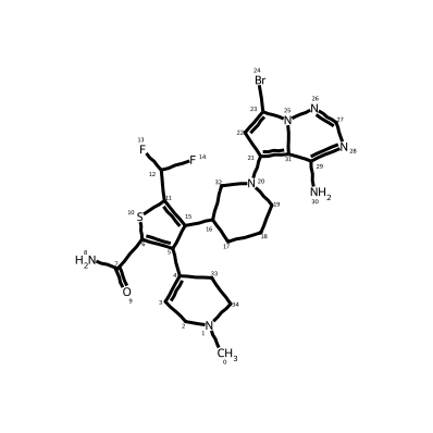 CN1CC=C(c2c(C(N)=O)sc(C(F)F)c2C2CCCN(c3cc(Br)n4ncnc(N)c34)C2)CC1